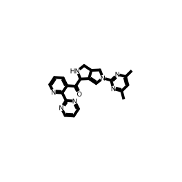 Cc1cc(C)nc(N2C=C3C(CNC3C(=O)c3cccnc3-c3ncccn3)C2)n1